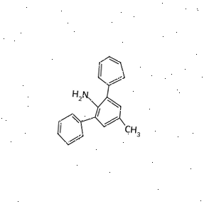 Cc1cc(-c2ccccc2)c(N)c(-c2ccccc2)c1